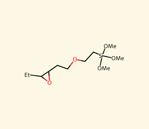 CCC1OC1CCOCC[Si](OC)(OC)OC